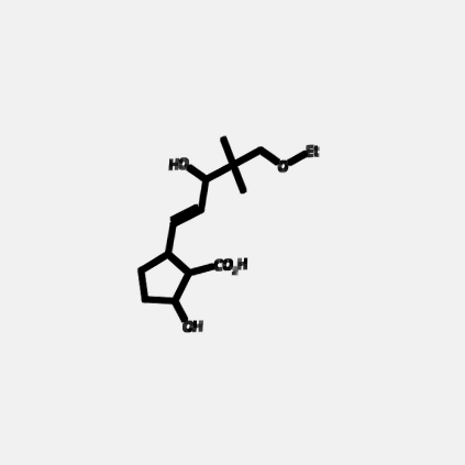 CCOCC(C)(C)C(O)C=CC1CCC(O)C1C(=O)O